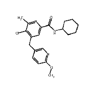 COc1ccc(Cc2cc(C(=O)NC3CCCCC3)nc(C)c2Cl)cn1